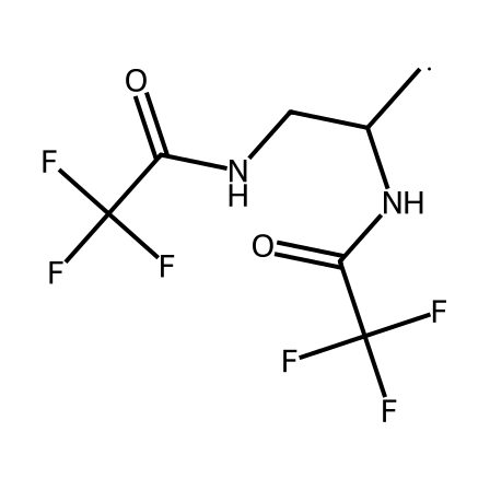 [CH2]C(CNC(=O)C(F)(F)F)NC(=O)C(F)(F)F